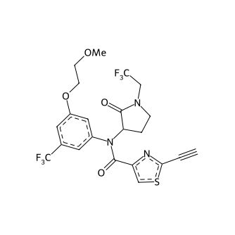 C#Cc1nc(C(=O)N(c2cc(OCCOC)cc(C(F)(F)F)c2)C2CCN(CC(F)(F)F)C2=O)cs1